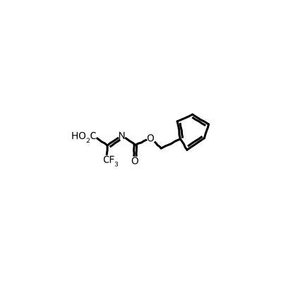 O=C(N=C(C(=O)O)C(F)(F)F)OCc1ccccc1